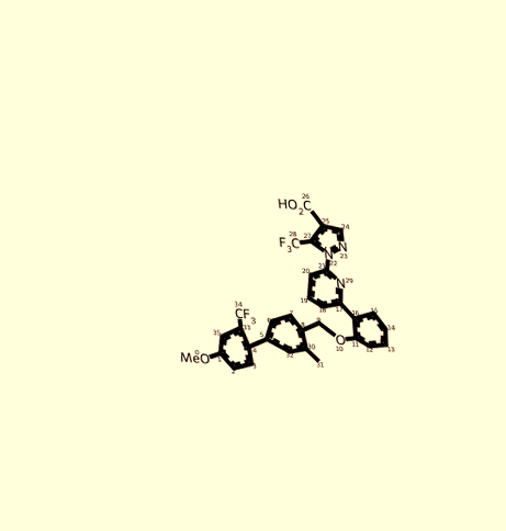 COc1ccc(-c2ccc(COc3ccccc3-c3cccc(-n4ncc(C(=O)O)c4C(F)(F)F)n3)c(C)c2)c(C(F)(F)F)c1